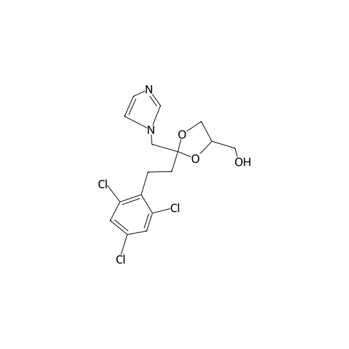 OCC1COC(CCc2c(Cl)cc(Cl)cc2Cl)(Cn2ccnc2)O1